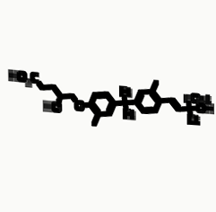 CCCCCCCCC(O)(/C=C/c1ccc(C(CC)(CC)c2ccc(OC[C@@H](O)CCC(=O)O)c(C)c2)cc1C)CC